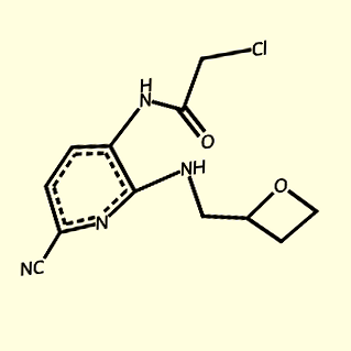 N#Cc1ccc(NC(=O)CCl)c(NCC2CCO2)n1